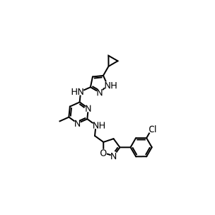 Cc1cc(Nc2cc(C3CC3)[nH]n2)nc(NCC2CC(c3cccc(Cl)c3)=NO2)n1